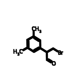 Cc1cc(C)cc(C(C=O)CBr)c1